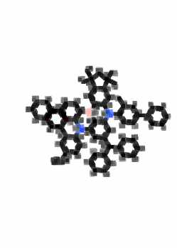 Cc1cc(-c2ccccc2)ccc1N1c2cc3c(cc2B2c4ccc(-c5ccccc5)cc4N(c4ccc(C(C)(C)C)cc4-c4ccccc4)c4cc(C(c5ccccc5)c5ccccc5)cc1c42)C(C)(C)CC3(C)C